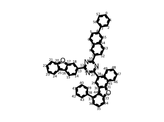 c1ccc(-c2ccc3cc(-c4nc(-c5ccc6c(c5)oc5ccccc56)nc(-c5cc6c(oc7cccc(-c8ccccc8)c76)c6ccccc56)n4)ccc3c2)cc1